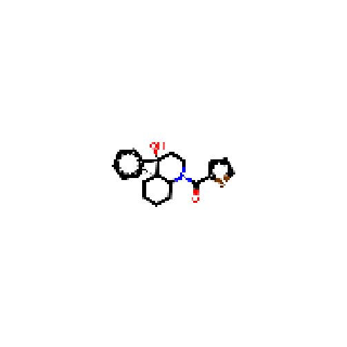 O=C(c1cccs1)N1CC[C@@](O)(c2ccccc2)[C@@H]2CCCCC21